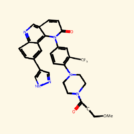 COCCC(=O)N1CCN(c2ccc(-n3c(=O)ccc4cnc5ccc(-c6cn[nH]c6)cc5c43)cc2C(F)(F)F)CC1